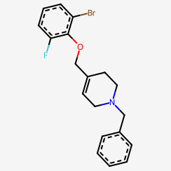 Fc1cccc(Br)c1OCC1=CCN(Cc2ccccc2)CC1